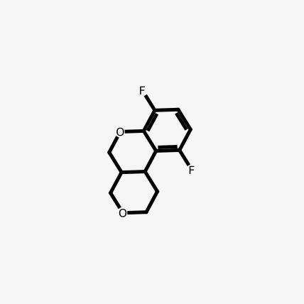 Fc1ccc(F)c2c1OCC1COCCC21